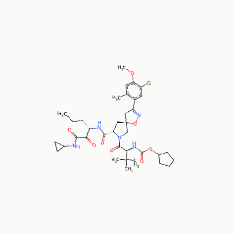 CCC[C@H](NC(=O)[C@@H]1C[C@]2(CC(c3cc(Cl)c(OC)cc3C)=NO2)CN1C(=O)[C@@H](NC(=O)OC1CCCC1)C(C)(C)C)C(=O)C(=O)NC1CC1